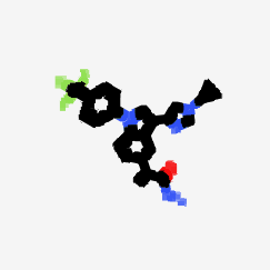 C=C(C(N)=O)c1ccc2c(c1)c(-c1cn(C3CC3)cn1)cn2-c1ccc(C(F)(F)F)cc1